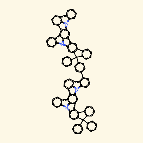 c1ccc(C2(c3ccc(-c4cccc5c4c4cccc6c7c8c9ccccc9n9c%10ccc%11c(c%10c(cc7n5c46)c89)-c4ccccc4C%11(c4ccccc4)c4ccccc4)cc3)c3ccccc3-c3cc4c5cc6c(c7cccc8c9ccccc9n6c87)c6c7ccccc7n(c4cc32)c56)cc1